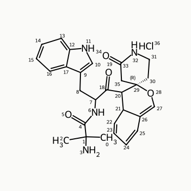 CC(C)(N)C(=O)NC(Cc1c[nH]c2ccccc12)C(=O)C1C2C=CC=CC2=CO[C@@]12CCNC(=O)C2.Cl